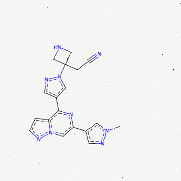 Cn1cc(-c2cn3nccc3c(-c3cnn(C4(CC#N)CNC4)c3)n2)cn1